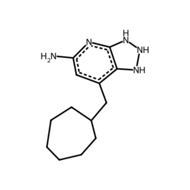 Nc1cc(CC2CCCCCC2)c2c(n1)NNN2